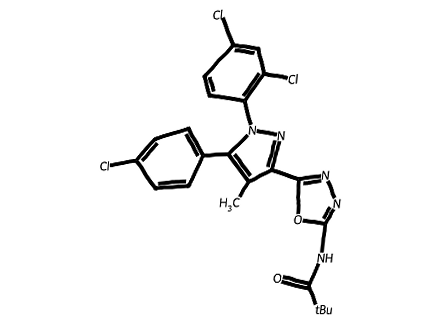 Cc1c(-c2nnc(NC(=O)C(C)(C)C)o2)nn(-c2ccc(Cl)cc2Cl)c1-c1ccc(Cl)cc1